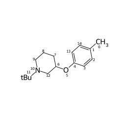 Cc1ccc(OC2CCCN(C(C)(C)C)C2)cc1